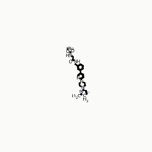 C=C/N=C(\C=C/C)N1CCN(c2ccc(-c3cccc(CNC(=O)CNC(=O)OC(C)(C)C)c3)cn2)CC1